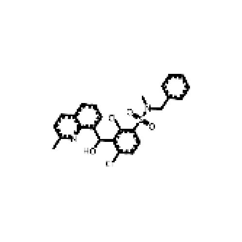 Cc1ccc2cccc(C(O)c3c(Cl)ccc(S(=O)(=O)N(C)Cc4ccccc4)c3Cl)c2n1